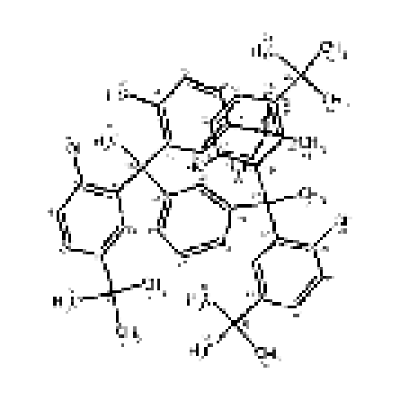 CC(C)(C)c1ccc(O)c(C(C)(c2cccc(C(C)(c3cc(C(C)(C)C)ccc3O)c3cc(C(C)(C)C)ccc3O)c2)c2cc(C(C)(C)C)ccc2O)c1